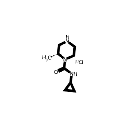 C[C@@H]1CNCCN1C(=O)NC1CC1.Cl